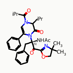 CC(=O)N[C@](Cc1ccccc1)(C(=O)C1=NC(C)(C)CO1)N1C(=O)C(C(C)C)N(C(=O)C(C)C)C=C1c1ccccc1